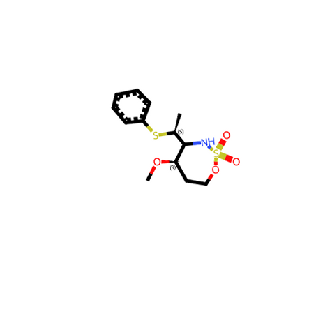 CO[C@@H]1CCOS(=O)(=O)NC1[C@H](C)Sc1ccccc1